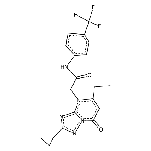 CCc1cc(=O)n2nc(C3CC3)nc2n1CC(=O)Nc1ccc(C(F)(F)F)cc1